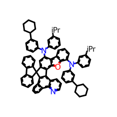 CC(C)c1cccc(N(c2cccc(C3CCCCC3)c2)c2cccc3c2oc2c4c(cc(N(c5cccc(C(C)C)c5)c5cccc(C6CCCCC6)c5)c23)C2(c3ccccc3-c3ccccc32)c2c-4c3cccnc3c3ccccc23)c1